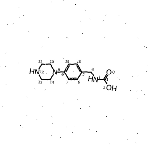 O=C(O)NCc1ccc(N2CCNCC2)cc1